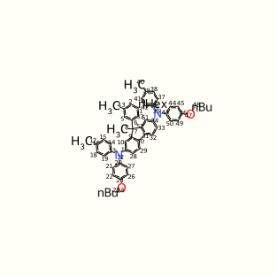 CCCCCCc1cc(C)cc(C2(C)c3cc(N(c4ccc(C)cc4)c4ccc(OCCCC)cc4)ccc3-c3ccc(N(c4ccc(C)cc4)c4ccc(OCCCC)cc4)cc32)c1